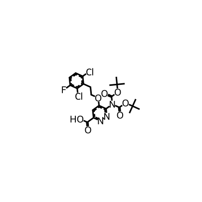 CC(C)(C)OC(=O)N(C(=O)OC(C)(C)C)c1nnc(C(=O)O)cc1OCCc1c(Cl)ccc(F)c1Cl